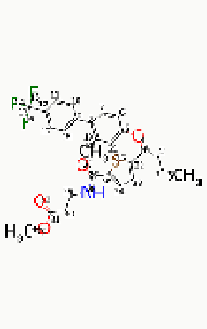 CCC[C@@H](Oc1ccc(-c2ccc(C(F)(F)F)cc2)c(C)c1)c1ccc(C(=O)NCCC(=O)OC)s1